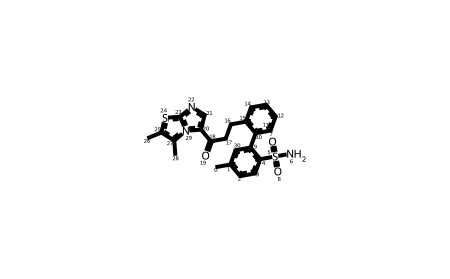 Cc1ccc(S(N)(=O)=O)c(-c2ccccc2CCC(=O)c2cnc3sc(C)c(C)n23)c1